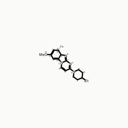 CCC1CCN(C2=NC3=NC4C(=CC(OC)=C[C@@H]4C)N3C=C2)CC1